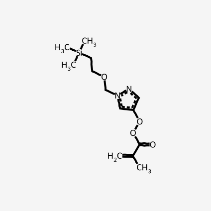 C=C(C)C(=O)OOc1cnn(COCC[Si](C)(C)C)c1